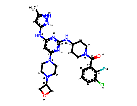 Cc1cc(Nc2cc(N3CCN(C4COC4)CC3)nc(NC3CCN(C(=O)c4cccc(Cl)c4F)CC3)n2)n[nH]1